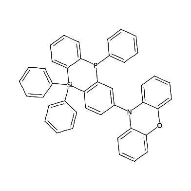 c1ccc(P2c3ccccc3[Si](c3ccccc3)(c3ccccc3)c3ccc(N4c5ccccc5Oc5ccccc54)cc32)cc1